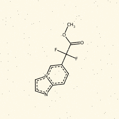 COC(=O)C(F)(F)c1ccc2nccn2c1